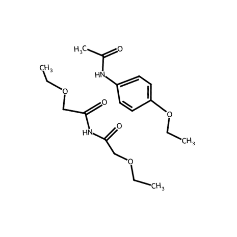 CCOCC(=O)NC(=O)COCC.CCOc1ccc(NC(C)=O)cc1